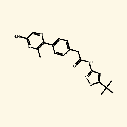 Cc1nc(N)cnc1-c1ccc(CC(=O)Nc2cc(C(C)(C)C)on2)cc1